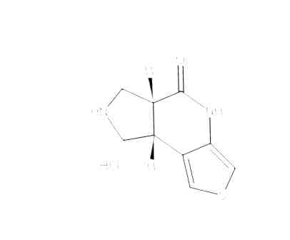 Cl.O=C1Nc2cscc2[C@@H]2CNC[C@H]12